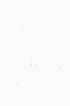 c1ccc(-c2cccc(-c3c4ccccc4c(-c4ccc(N(c5ccc(-c6cccc7ccccc67)cc5)c5ccc6c(c5)c5ccccc5n6-c5ccccc5)cc4)c4ccccc34)c2)cc1